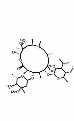 CC[C@H]1OC(=O)[C@H](C)[C@@H](O[C@H]2C[C@@](C)(OC)[C@@H](N)[C@H](C)O2)[C@H](C)[C@@H](O[C@@H]2O[C@H](C)[C@@H](OC(C)(C)C)[C@H](N(C)C)[C@H]2O)[C@](C)(O)C[C@@H](C)CN(C)[C@H](C)[C@@H](O)[C@]1(C)O